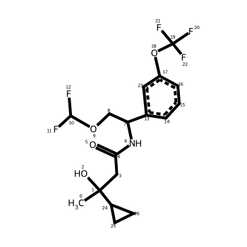 CC(O)(CC(=O)NC(COC(F)F)c1cccc(OC(F)(F)F)c1)C1CC1